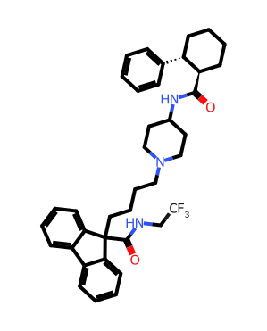 O=C(NC1CCN(CCCCC2(C(=O)NCC(F)(F)F)c3ccccc3-c3ccccc32)CC1)[C@@H]1CCCC[C@H]1c1ccccc1